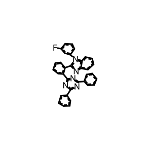 Fc1cccc(-n2c(-c3ccccc3-c3nc(-c4ccccc4)nc(-c4ccccc4)n3)nc3ccccc32)c1